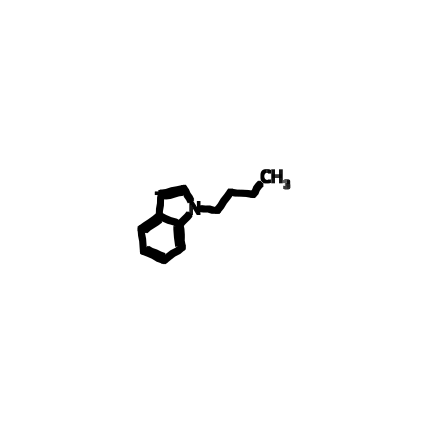 CCCCn1c[c]c2ccccc21